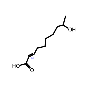 CC(O)CCCCC/C=C/C(=O)O